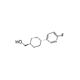 OC[C@H]1CC[C@H](c2ccc(F)cc2)CC1